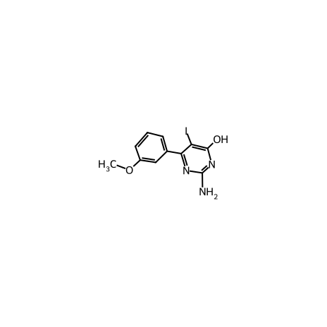 COc1cccc(-c2nc(N)nc(O)c2I)c1